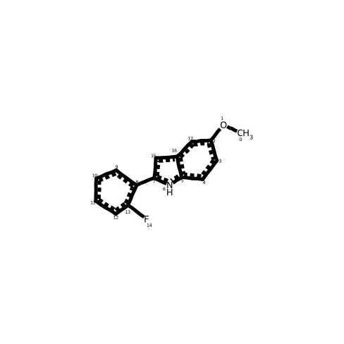 COc1ccc2[nH]c(-c3ccccc3F)cc2c1